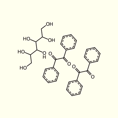 O=C(C(=O)c1ccccc1)c1ccccc1.O=C(C(=O)c1ccccc1)c1ccccc1.OCC(O)C(O)C(O)C(O)CO